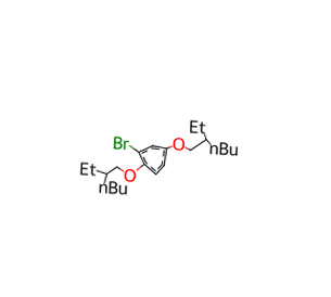 CCCCC(CC)COc1ccc(OCC(CC)CCCC)c(Br)c1